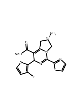 COC(=O)C1=C2C[C@H](N)CN2C(c2nccs2)=NC1c1sccc1Cl